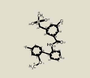 COc1cc(F)ccc1-c1ccncc1NC(=O)c1cc(Cl)cc(CS(C)(=O)=O)c1